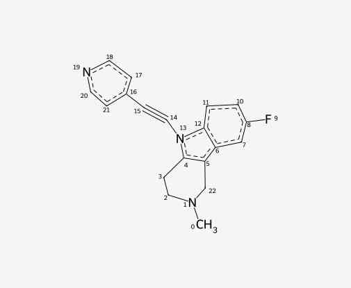 CN1CCc2c(c3cc(F)ccc3n2C#Cc2ccncc2)C1